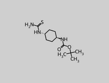 CC(C)(C)OC(=O)N[C@H]1CC[C@H](NC(N)=S)CC1